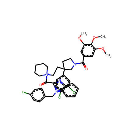 COc1cc(C(=O)N2CCC(CC[N+]3(C(=O)c4nc5ccccc5n4Cc4ccc(F)cc4)CCCCC3)(c3ccc(Cl)c(Cl)c3)C2)cc(OC)c1OC